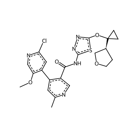 COc1cnc(Cl)cc1-c1cc(C)ncc1C(=O)Nc1nnc(OC2([C@H]3CCOC3)CC2)s1